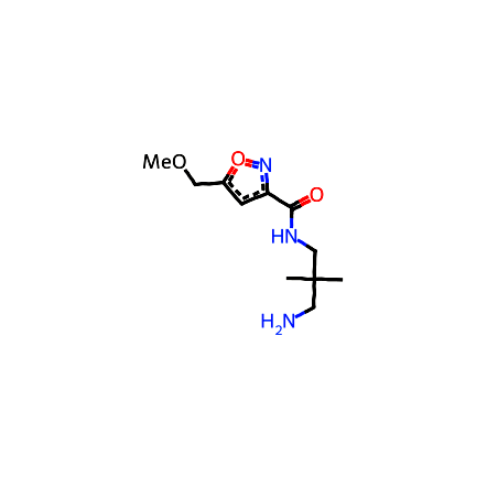 COCc1cc(C(=O)NCC(C)(C)CN)no1